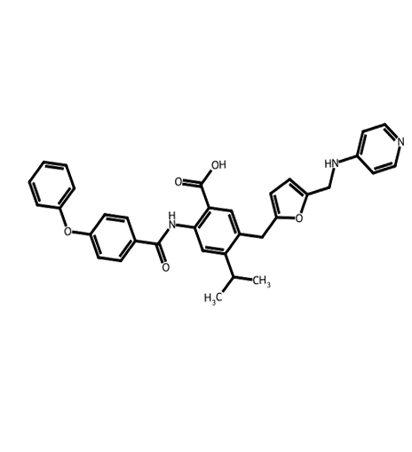 CC(C)c1cc(NC(=O)c2ccc(Oc3ccccc3)cc2)c(C(=O)O)cc1Cc1ccc(CNc2ccncc2)o1